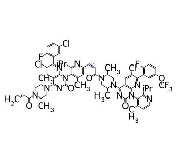 C=CC(=O)N1CC(C)N(c2nc(=O)n(-c3c(C)cc(/C=C\C(=O)N4CC(C)N(c5nc(=O)n(-c6c(C)ccnc6C(C)C)c6nc(-c7cc(OC(F)(F)F)ccc7F)c(Cl)cc56)CC4C)nc3C(C)C)c3nc(-c4cc(Cl)ccc4F)c(Cl)cc23)CC1C